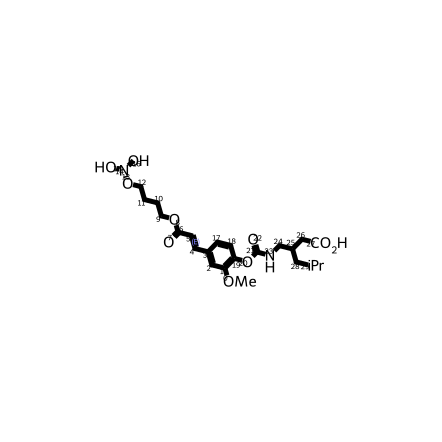 COc1cc(/C=C/C(=O)OCCCCON(O)O)ccc1OC(=O)NCC(CC(=O)O)CC(C)C